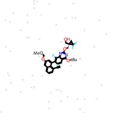 C#Cc1cccc2cc(OCOC)cc(-c3c(F)cc4c(OC(C)(C)C)nc(OC[C@]5(CO)CC5(F)F)nc4c3F)c12